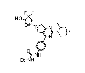 CCNC(=O)Nc1ccc(-c2nc(N3CCOC[C@@H]3C)nc3c2CN(C(C)C)C3)cc1.O=C(O)C(F)(F)F